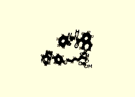 O=C(O)Oc1nc(N2CCc3cccc(C(=O)Nc4nc5ccccc5s4)c3C2)sc1CCCCOc1ccc(-n2ncc3cncnc32)cc1